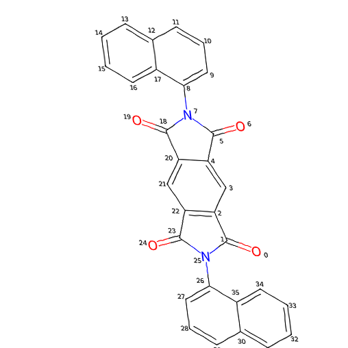 O=c1c2cc3c(=O)n(-c4cccc5ccccc45)c(=O)c3cc2c(=O)n1-c1cccc2ccccc12